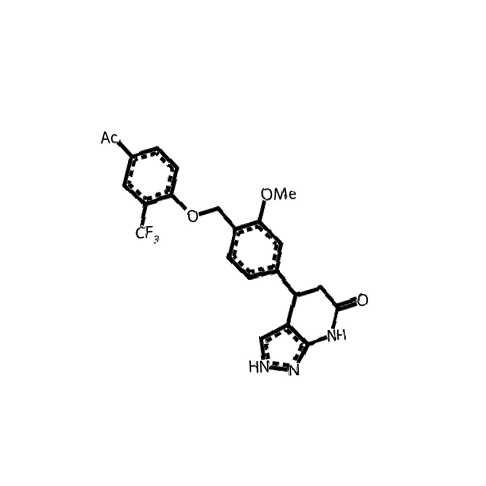 COc1cc(C2CC(=O)Nc3n[nH]cc32)ccc1COc1ccc(C(C)=O)cc1C(F)(F)F